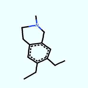 CCc1cc2c(cc1CC)CN(C)CC2